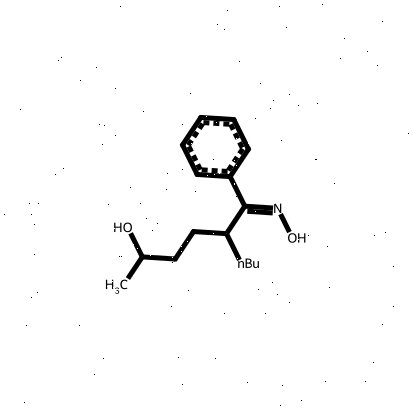 CCCCC(CCC(C)O)C(=NO)c1ccccc1